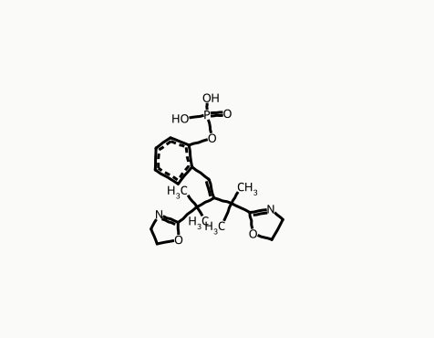 CC(C)(C(=Cc1ccccc1OP(=O)(O)O)C(C)(C)C1=NCCO1)C1=NCCO1